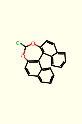 ClC1Oc2ccc3ccccc3c2-c2c(ccc3ccccc23)O1